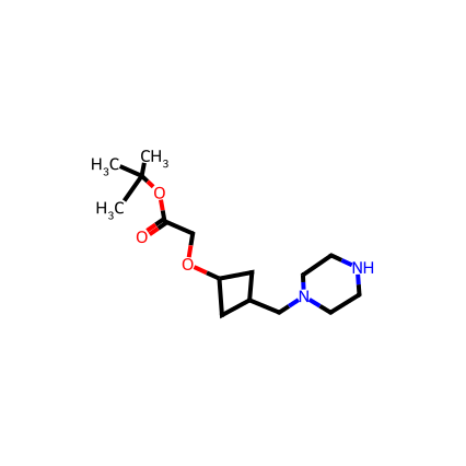 CC(C)(C)OC(=O)COC1CC(CN2CCNCC2)C1